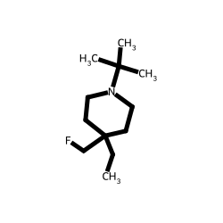 CCC1(CF)CCN(C(C)(C)C)CC1